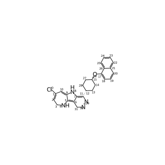 ClC1=CCNc2c3c([nH]c2=C1)=C([C@H]1CC[C@H](Oc2cccc4ccccc24)CC1)N=NC3